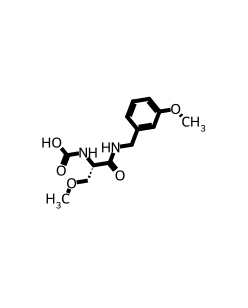 COC[C@H](NC(=O)O)C(=O)NCc1cccc(OC)c1